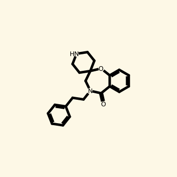 O=C1c2ccccc2OC2(CCNCC2)CN1CCc1ccccc1